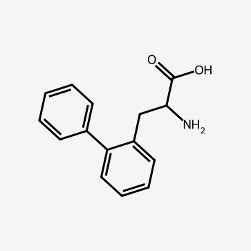 NC(Cc1ccccc1-c1ccccc1)C(=O)O